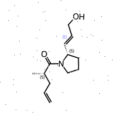 C=CC[C@H](C)C(=O)N1CCC[C@H]1/C=C/CO